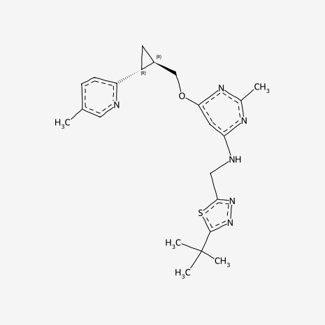 Cc1ccc([C@@H]2C[C@H]2COc2cc(NCc3nnc(C(C)(C)C)s3)nc(C)n2)nc1